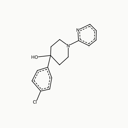 OC1(c2ccc(Cl)cc2)CCN(c2[c]cccn2)CC1